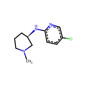 CN1CCC[C@@H](Nc2ccc(Cl)cn2)C1